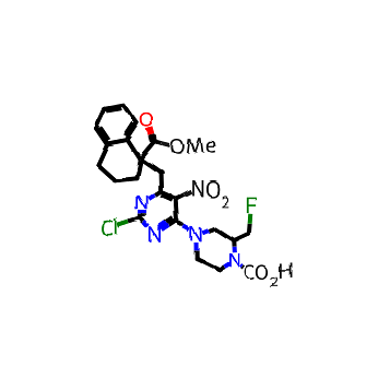 COC(=O)C1(Cc2nc(Cl)nc(N3CCN(C(=O)O)C(CF)C3)c2[N+](=O)[O-])CCCc2ccccc21